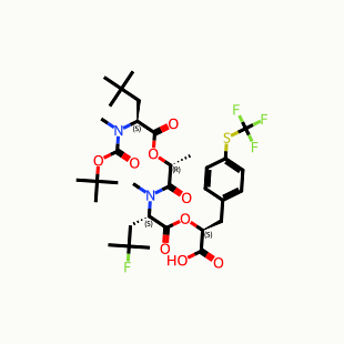 C[C@@H](OC(=O)[C@H](CC(C)(C)C)N(C)C(=O)OC(C)(C)C)C(=O)N(C)[C@@H](CC(C)(C)F)C(=O)O[C@@H](Cc1ccc(SC(F)(F)F)cc1)C(=O)O